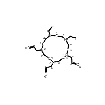 CCN1CCN(CC)CCN(CC=O)CCN(CC=O)CCN(CC=O)CC1